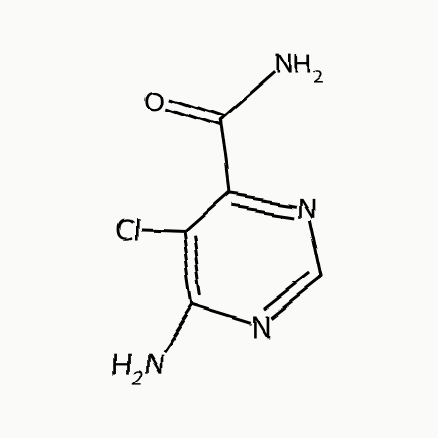 NC(=O)c1ncnc(N)c1Cl